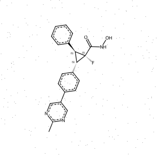 Cc1ncc(-c2ccc([C@@H]3[C@@H](c4ccccc4)[C@@]3(F)C(=O)NO)cc2)cn1